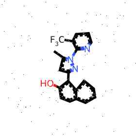 Cc1cc(-c2c(O)ccc3ccccc23)nn1-c1ncccc1C(F)(F)F